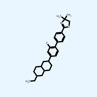 CCC1CCC2CC(c3ccc(-c4ccc(C5=NC(C)(C)CO5)cc4)c(F)c3)CCC2C1